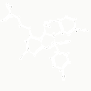 CC(c1ccc(F)cc1CCCC(=O)O)N(c1cc(F)ccc1F)S(=O)(=O)c1ccc(Cl)cc1